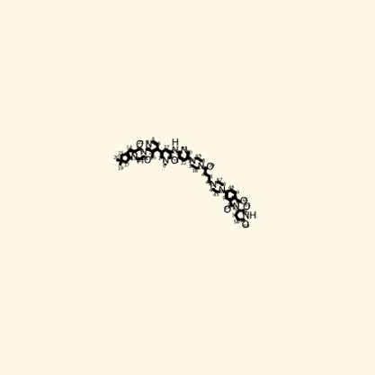 Cn1cc(-c2ccnc(N3CCn4c(cc5c4CC(C)(C)C5)C3=O)c2CO)cc(Nc2ccc(N3CCN(C(=O)CCCN4CCN(c5ccc6c(c5)C(=O)N(C5CCC(=O)NC5=O)C6=O)CC4)CC3)cn2)c1=O